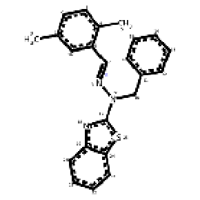 Cc1ccc(C)c(/C=N/N(Cc2ccccc2)c2nc3ccccc3s2)c1